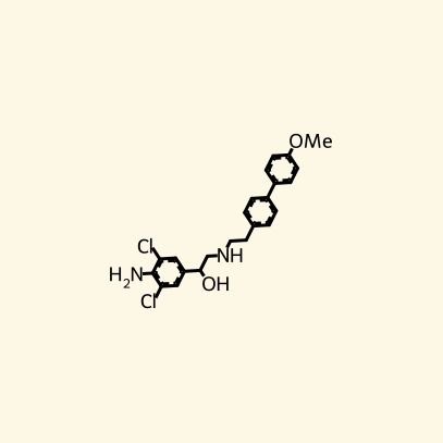 COc1ccc(-c2ccc(CCNCC(O)c3cc(Cl)c(N)c(Cl)c3)cc2)cc1